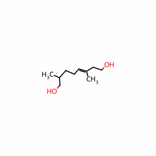 C/C(=C\CCC(C)CO)CCO